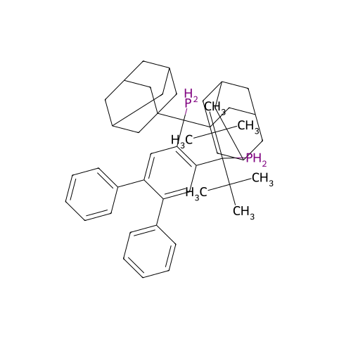 CC(C)(C)C(P)(c1cc(-c2ccccc2)c(-c2ccccc2)cc1C(P)(C12CC3CC(CC(C3)C1)C2)C12CC3CC(CC(C3)C1)C2)C(C)(C)C